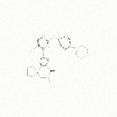 CN1CC2(CCCC2)c2sc(-c3nc(Nc4ccc(N5CCOCC5)cn4)ncc3F)cc2C1=O